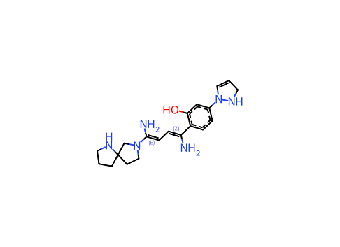 N/C(=C\C=C(/N)N1CCC2(CCCN2)C1)c1ccc(N2C=CCN2)cc1O